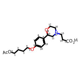 CC(=O)OCCCCOc1ccc(C2CN(CCC(=O)O)CCO2)cc1